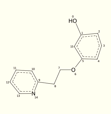 Oc1cccc(OCCc2ccccn2)c1